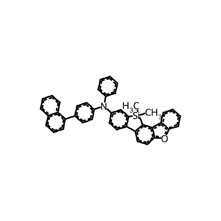 C[Si]1(C)c2cc(N(c3ccccc3)c3ccc(-c4cccc5ccccc45)cc3)ccc2-c2ccc3oc4ccccc4c3c21